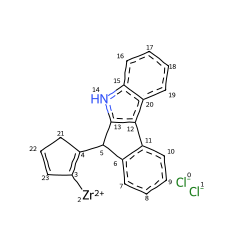 [Cl-].[Cl-].[Zr+2][C]1=C(C2c3ccccc3-c3c2[nH]c2ccccc32)CC=C1